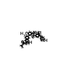 Cc1ccc(N(N)C(=O)c2ccc(CN3CCNCC3)c(Cl)c2)cc1-c1ccc2c(c1)=CNC(NC(=O)C1CC1)C=2